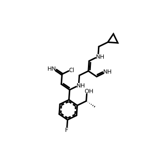 C[C@@H](O)c1cc(F)ccc1/C(=C/C(=N)Cl)NC/C(C=N)=C/NCC1CC1